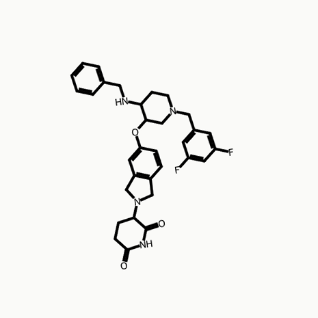 O=C1CCC(N2Cc3ccc(OC4CN(Cc5cc(F)cc(F)c5)CCC4NCc4ccccc4)cc3C2)C(=O)N1